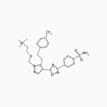 C[Si](C)(C)CCOCn1ncc(-c2nc(-c3ccc(S(N)(=O)=O)cc3)no2)c1CCc1ccc(C(F)(F)F)cc1